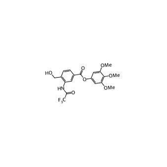 COc1cc(OC(=O)c2ccc(CO)c(NC(=O)C(F)(F)F)c2)cc(OC)c1OC